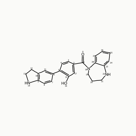 O=C(c1ccc(-c2ccc3c(c2)CCN3)c(O)c1)N1CCCNc2ccccc21